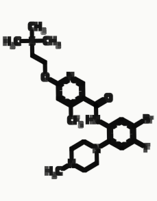 CN1CCN(c2cc(F)c(Br)cc2NC(=O)c2cnc(OCCS(C)(C)C)cc2C(F)(F)F)CC1